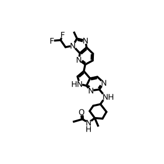 CC(=O)NC1(C)CCC(Nc2ncc3c(-c4ccc5nc(C)n(CC(F)F)c5n4)c[nH]c3n2)CC1